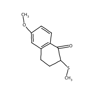 COc1ccc2c(c1)CCC(SC)C2=O